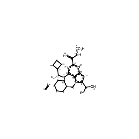 C=C[C@H]1CC[C@H](Cn2c(C(O)C(C)C)nc3nc(C(=N)NC(=O)O)nc(N[C@H](C)C4CCC4)c32)CC1